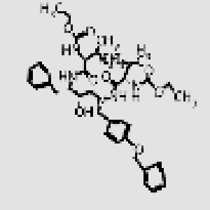 CCOC(=O)N[C@H](C(=O)N[C@@H](Cc1ccccc1)[C@@H](O)CN(Cc1ccc(OCc2ccccc2)cc1)NC(=O)[C@@H](NC(=O)OCC)C(C)C)C(C)C